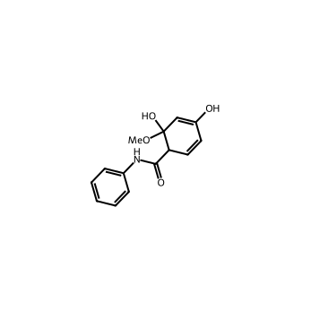 COC1(O)C=C(O)C=CC1C(=O)Nc1ccccc1